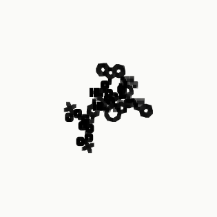 CC(C)(C)C(=O)OCOP(=O)(Cc1ccc(C[C@H](NC(=O)OCC2c3ccccc3-c3ccccc32)C(=O)N[C@H]2CCCCC3CC[C@@H](C(=O)N[C@@H](CCC(N)=O)C(=O)NCc4ccccc4)N3C2=O)cc1)OCOC(=O)C(C)(C)C